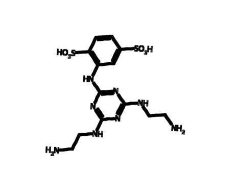 NCCNc1nc(NCCN)nc(Nc2cc(S(=O)(=O)O)ccc2S(=O)(=O)O)n1